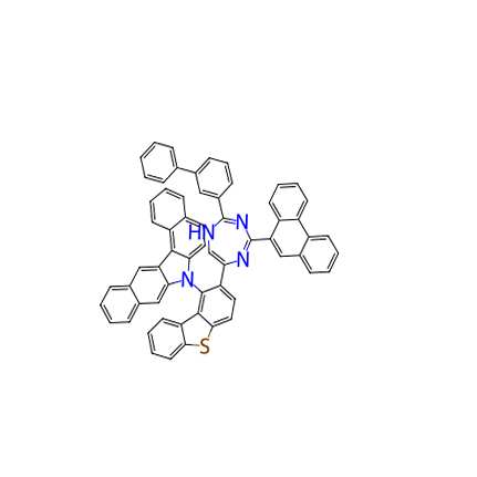 C1=C(c2ccc3sc4ccccc4c3c2-n2c3cc4ccccc4cc3c3c4ccccc4ccc32)N=C(c2cc3ccccc3c3ccccc23)N=C(c2cccc(-c3ccccc3)c2)N1